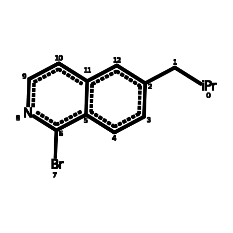 CC(C)Cc1ccc2c(Br)nccc2c1